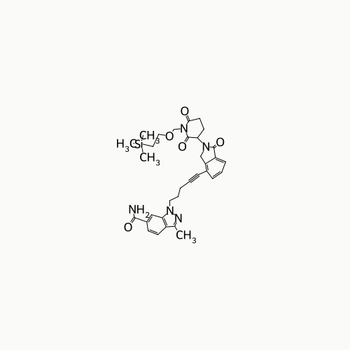 Cc1nn(CCCC#Cc2cccc3c2CN(C2CCC(=O)N(COCC[Si](C)(C)C)C2=O)C3=O)c2cc(C(N)=O)ccc12